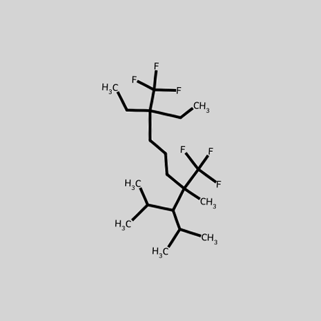 CCC(CC)(CCCC(C)(C(C(C)C)C(C)C)C(F)(F)F)C(F)(F)F